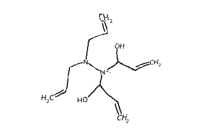 C=CCN(CC=C)[N+](C(O)C=C)C(O)C=C